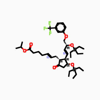 CC[Si](CC)(CC)O[C@H](/C=C/[C@H]1[C@H](O[Si](CC)(CC)CC)CC(=O)[C@@H]1C/C=C/CCCC(=O)OC(C)C)COc1cccc(C(F)(F)F)c1